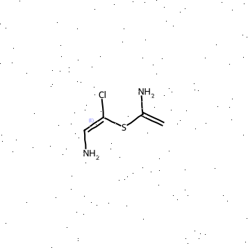 C=C(N)S/C(Cl)=C\N